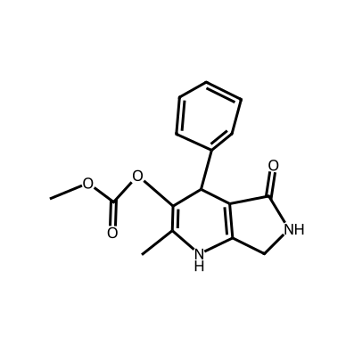 COC(=O)OC1=C(C)NC2=C(C(=O)NC2)C1c1ccccc1